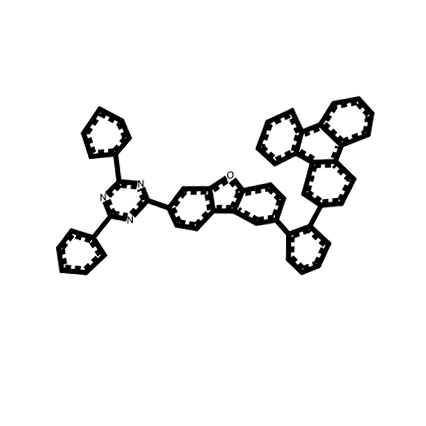 c1ccc(-c2nc(-c3ccccc3)nc(-c3ccc4c(c3)oc3ccc(-c5ccccc5-c5ccc6c7ccccc7c7ccccc7c6c5)cc34)n2)cc1